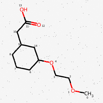 COCCOC1CCCC(CC(=O)O)C1